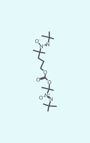 CC(C)(C)/N=[N+](\[O-])C(C)(C)CCCOC(=O)OC(C)(C)/[N+]([O-])=N/C(C)(C)C